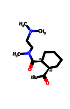 CN(C)CCN(C)C(=O)[C@H]1CCCC[C@H]1C(=O)C(C)(C)C